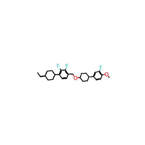 CCC1CCC(c2ccc(COC3CCC(c4ccc(OC)c(F)c4)CC3)c(F)c2F)CC1